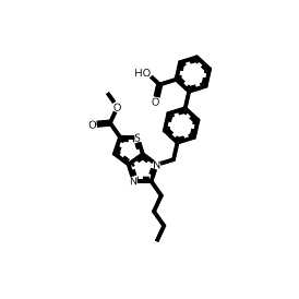 CCCCc1nc2cc(C(=O)OC)sc2n1Cc1ccc(-c2ccccc2C(=O)O)cc1